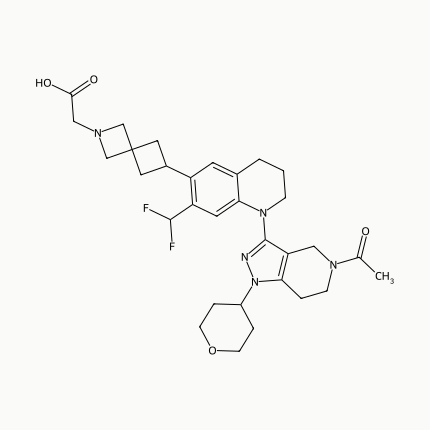 CC(=O)N1CCc2c(c(N3CCCc4cc(C5CC6(C5)CN(CC(=O)O)C6)c(C(F)F)cc43)nn2C2CCOCC2)C1